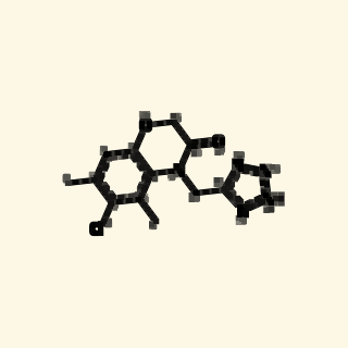 Cc1cc2c(c(C)c1Cl)N(Cc1nn[nH]n1)C(=O)CO2